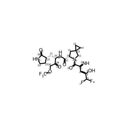 N=C(/C=C(\O)C(F)F)C(=O)N1CC2(CC2)C[C@H]1C(=O)N[C@@H](C[C@@H]1CCNC1=O)C(=O)COC(F)(F)F